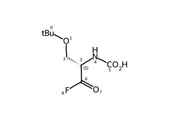 CC(C)(C)OC[C@H](NC(=O)O)C(=O)F